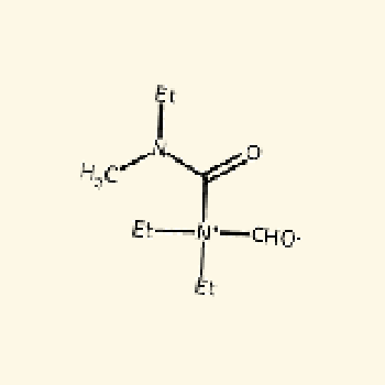 CCN(C)C(=O)[N+]([C]=O)(CC)CC